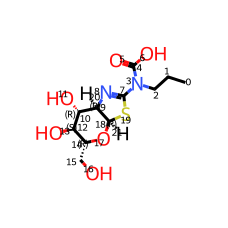 CCCN(C(=O)O)C1=N[C@@H]2[C@@H](O)[C@H](O)[C@@H](CO)O[C@@H]2S1